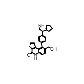 NCC(c1ccc(-c2c(CO)ccc3[nH]c(=O)c4sccc4c23)cc1)C1CCCC1